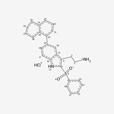 Cl.NCCc1c(S(=O)(=O)c2ccccc2)[nH]c2ccc(-c3cccc4ccccc34)cc12